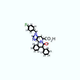 O=C(O)C1Cc2c(ncn2Cc2ccc(F)cc2)CN1C(=O)C(c1ccccc1)c1ccccc1